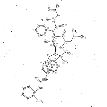 Cc1ccccc1NC(=O)Nc1ccc(CN2C(=O)N(C(CC(C)C)C(=O)[C@@H](C(=O)O)N(C(=O)[C@@H](N)CC(=O)O)c3ccccc3)C(=O)C2(C)c2ccccc2)cc1